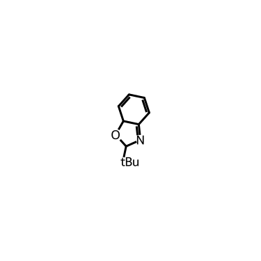 CC(C)(C)C1N=C2C=CC=CC2O1